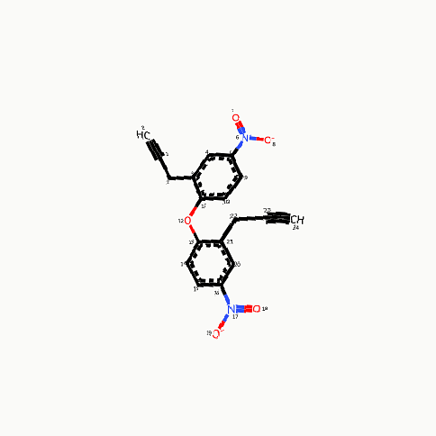 C#CCc1cc([N+](=O)[O-])ccc1Oc1ccc([N+](=O)[O-])cc1CC#C